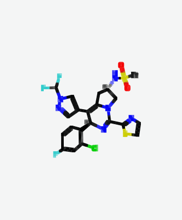 CCS(=O)(=O)N[C@H]1CC2=C(c3cnn(C(F)F)c3)[C@H](c3ccc(F)cc3Cl)N=C(c3nccs3)N2C1